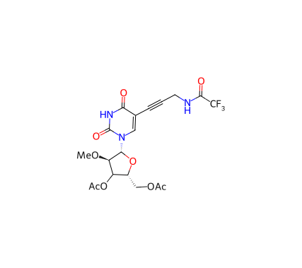 CO[C@@H]1C(OC(C)=O)[C@@H](COC(C)=O)O[C@H]1n1cc(C#CCNC(=O)C(F)(F)F)c(=O)[nH]c1=O